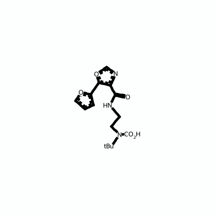 CC(C)(C)N(CCNC(=O)c1ncoc1-c1ccco1)C(=O)O